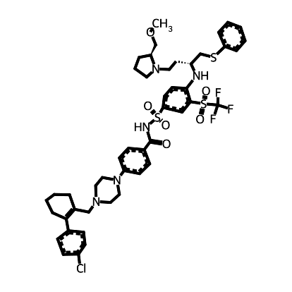 COC[C@@H]1CCCN1CC[C@H](CSc1ccccc1)Nc1ccc(S(=O)(=O)NC(=O)c2ccc(N3CCN(CC4=C(c5ccc(Cl)cc5)CCCC4)CC3)cc2)cc1S(=O)(=O)C(F)(F)F